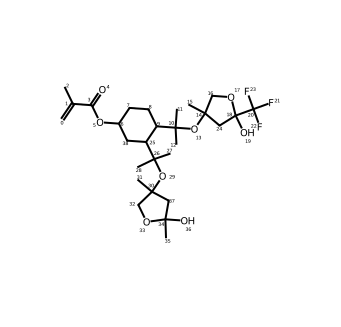 C=C(C)C(=O)OC1CCC(C(C)(C)OC2(C)COC(O)(C(F)(F)F)C2)C(C(C)(C)OC2(C)COC(C)(O)C2)C1